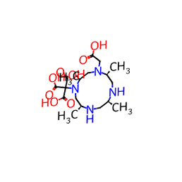 C[C@H]1CN[C@@H](C)CN(C(C(=O)O)(C(=O)O)C(=O)O)[C@@H](C)CN(CC(=O)O)[C@@H](C)CN1